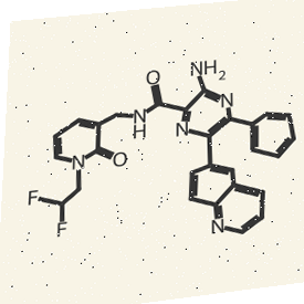 Nc1nc(-c2ccccc2)c(-c2ccc3ncccc3c2)nc1C(=O)NCc1cccn(CC(F)F)c1=O